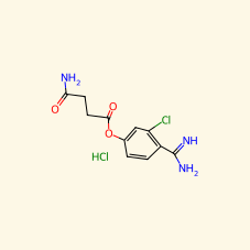 Cl.N=C(N)c1ccc(OC(=O)CCC(N)=O)cc1Cl